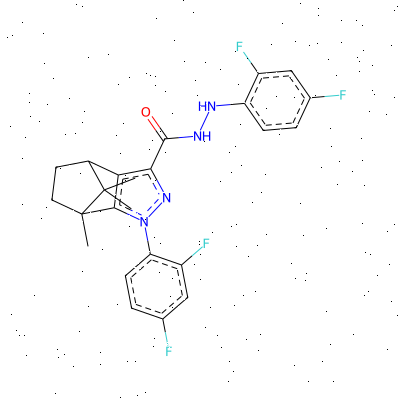 CC12CCC(c3c(C(=O)NNc4ccc(F)cc4F)nn(-c4ccc(F)cc4F)c31)C2(C)C